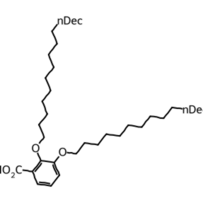 CCCCCCCCCCCCCCCCCCCCOc1cccc(C(=O)O)c1OCCCCCCCCCCCCCCCCCCCC